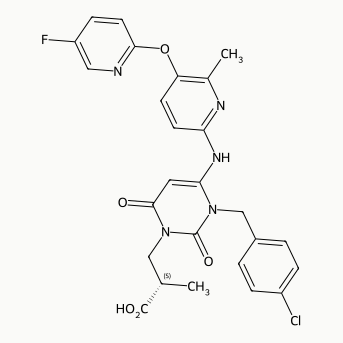 Cc1nc(Nc2cc(=O)n(C[C@H](C)C(=O)O)c(=O)n2Cc2ccc(Cl)cc2)ccc1Oc1ccc(F)cn1